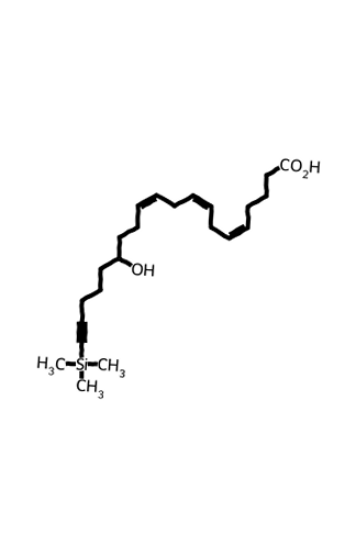 C[Si](C)(C)C#CCCCC(O)CC/C=C\C/C=C\C/C=C\CCCC(=O)O